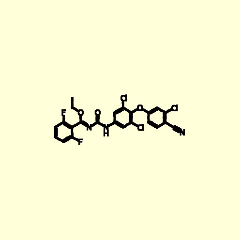 CCOC(=NC(=O)Nc1cc(Cl)c(Oc2ccc(C#N)c(Cl)c2)c(Cl)c1)c1c(F)cccc1F